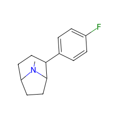 CN1C2CCC(c3ccc(F)cc3)C1CC2